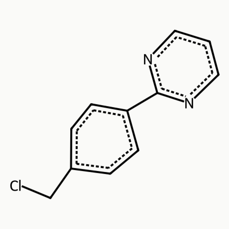 ClCc1ccc(-c2ncccn2)cc1